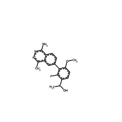 COc1ccc(B(C)O)c(F)c1-c1ccc2c(N)nnc(C)c2c1